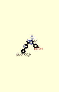 COc1ccc(-c2ccc(-c3cnn4c(N)c(C(C)=O)c(C5CCC(O)(CO)CC5)nc34)cn2)cc1C(=O)O